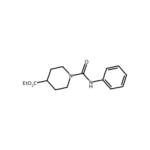 CCOC(=O)C1CCN(C(=O)Nc2ccccc2)CC1